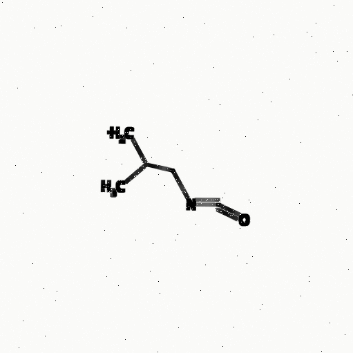 [CH2]C(C)CN=C=O